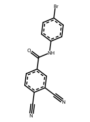 N#Cc1ccc(C(=O)Nc2ccc(Br)cc2)cc1C#N